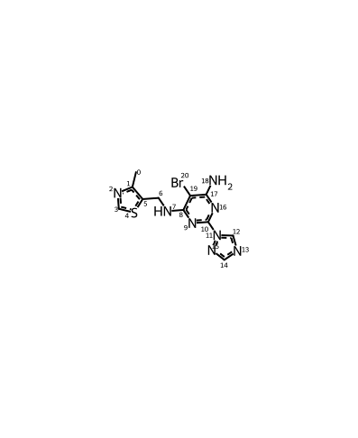 Cc1ncsc1CNc1nc(-n2cncn2)nc(N)c1Br